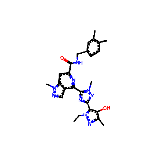 CCn1nc(C)c(O)c1-c1nc(-c2nc(C(=O)NCc3ccc(C)c(C)c3)cc3c2cnn3C)n(C)n1